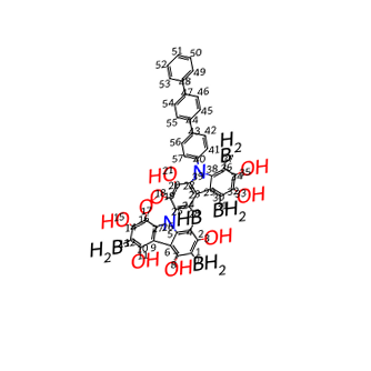 Bc1c(O)c2c3c(c1O)c1c(O)c(B)c(O)c4ooc5c(O)c6c(c(c5n3c41)B2)c1c(B)c(O)c(O)c(B)c1n6-c1ccc(-c2ccc(-c3ccccc3)cc2)cc1